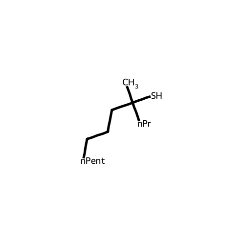 CCCCCCCCC(C)(S)CCC